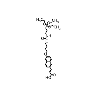 CCO[Si](CCCNC(=O)OCCCCOc1ccc2cc(C=CC(=O)O)ccc2c1)(OCC)OCC